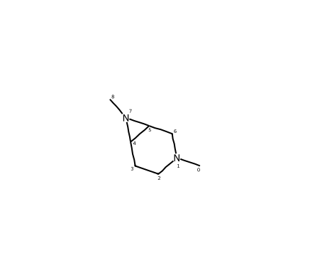 CN1CCC2C(C1)N2C